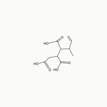 C=CC(C)C(C(=O)O)C(CC(=O)O)C(=O)O